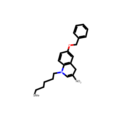 CSCCCCCN1C=C([N+](=O)[O-])Cc2cc(OCc3ccccc3)ccc21